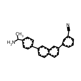 CC(N)c1ccc(-c2ccc3ccc(-c4cccc(C#N)c4)cc3c2)cc1